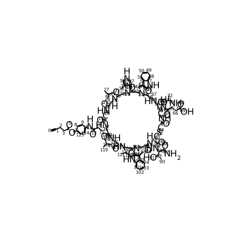 C#CCCC(=O)Oc1ccc(NC(=O)CC[C@@H]2NC(=O)CNC(=O)[C@H](CC(C)C)NC(=O)[C@H](Cc3c[nH]cn3)NC(=O)[C@H](Cc3c[nH]c4ccccc34)NC(=O)[C@H](C)NC(=O)[C@@H](NC(=O)[C@H](CC(=O)O)NC(C)=O)CNC(=O)CSC[C@@H](C(=O)N[C@H](C(N)=O)[C@@H](C)O)NC(=O)[C@H](Cc3c[nH]c4ccccc34)NC(=O)[C@H](C(C)C)NC(=O)[C@H](CC(C)C)NC2=O)cc1